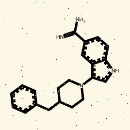 N=C(N)c1ccc2[nH]cc(N3CCC(Cc4ccccc4)CC3)c2c1